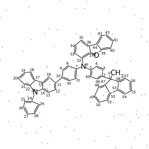 CC1(c2ccc(N(c3ccc(-c4ccc5c(c4)c4ccccc4n5-c4ccccc4)cc3)c3cccc4c3oc3ccccc34)cc2)c2ccccc2-c2ccccc21